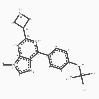 Cn1cnc2c(-c3ccc(OC(F)(F)F)cc3)nc(C3CNC3)nc21